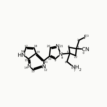 N#CC1(CF)CC(CN)(n2cc(-c3ncnc4[nH]ccc34)cn2)C1